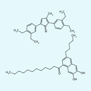 CCCCCCCCCCCC(=O)c1cc(CCCCC)cc2cc(O)c(O)cc12.CCc1ccc(C2=CC(C)=C(c3ccc(CC)c(CC)c3)[N+]2=[N-])cc1CC